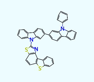 c1ccc(-n2c3ccccc3c3ccc(-c4ccc5c6ccccc6n(-c6nc7c(ccc8sc9ccccc9c87)s6)c5c4)cc32)cc1